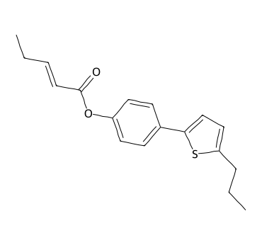 CCC=CC(=O)Oc1ccc(-c2ccc(CCC)s2)cc1